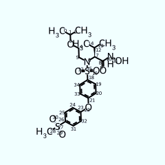 CC(C)OCCN([C@H](C(=O)NO)C(C)C)S(=O)(=O)c1ccc(Oc2ccc(S(C)(=O)=O)cc2)cc1